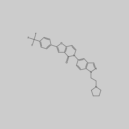 O=c1c2cc(-c3ccc(C(F)(F)F)cc3)oc2ccn1-c1ccc2c(cnn2CCN2CCCC2)c1